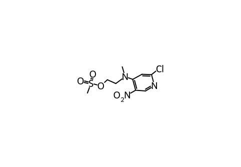 CN(CCOS(C)(=O)=O)c1cc(Cl)ncc1[N+](=O)[O-]